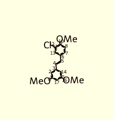 COc1cc(C=Cc2ccc(OC)c(Cl)c2)cc(OC)c1